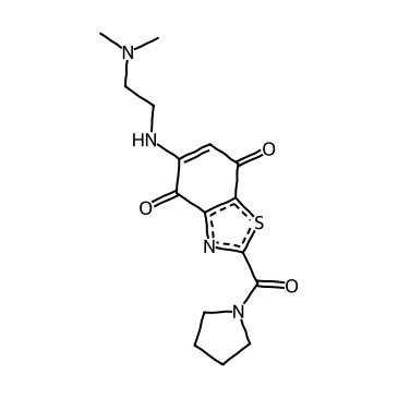 CN(C)CCNC1=CC(=O)c2sc(C(=O)N3CCCC3)nc2C1=O